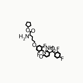 Nc1c(C(=O)c2ccc(F)cc2F)ccc(=O)n1-c1c(F)cc(OCCC[C@H](N)C(=O)OC2CCCC2)cc1F